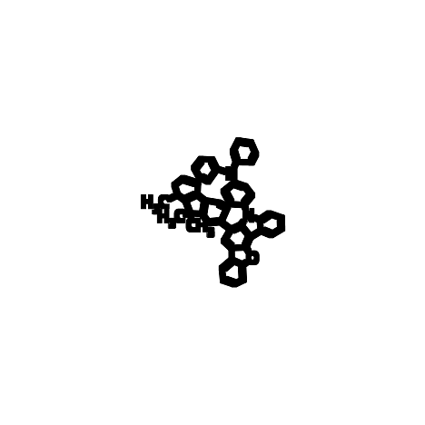 CC1CC=CC2=C1C(C)(C)c1cc(-c3cc4c5ccccc5oc4c4c5ccccc5n(-c5ccc(N(c6ccccc6)c6ccccc6)cc5)c34)ccc12